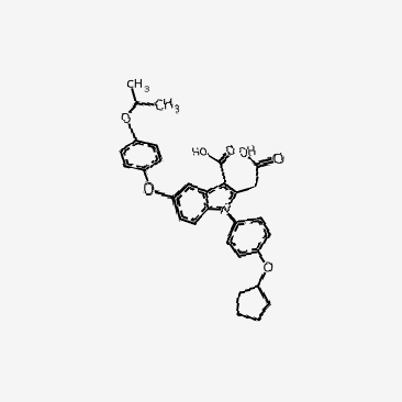 CC(C)Oc1ccc(Oc2ccc3c(c2)c(C(=O)O)c(CC(=O)O)n3-c2ccc(OC3CCCC3)cc2)cc1